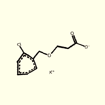 O=C([O-])CCOCc1ccccc1Cl.[K+]